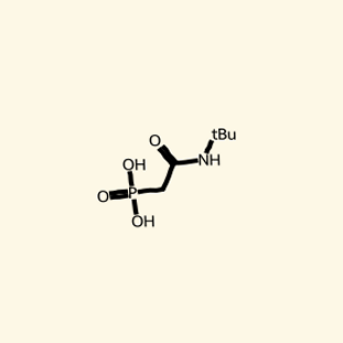 CC(C)(C)NC(=O)CP(=O)(O)O